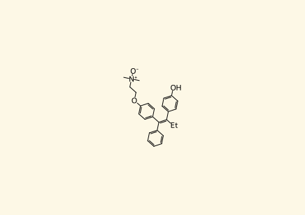 CC/C(=C(\c1ccccc1)c1ccc(OCC[N+](C)(C)[O-])cc1)c1ccc(O)cc1